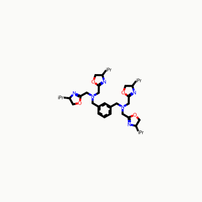 CC(C)C1COC(CN(CC2=NC(C(C)C)CO2)Cc2cccc(CN(CC3=NC(C(C)C)CO3)CC3=NC(C(C)C)CO3)c2)=N1